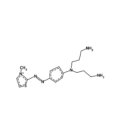 C[n+]1ccsc1/N=N/c1ccc(N(CCCN)CCCN)cc1